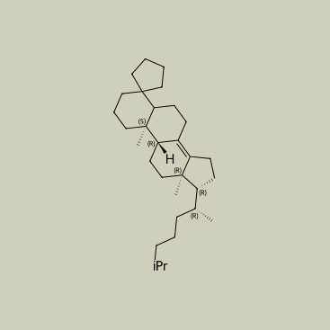 CC(C)CCC[C@@H](C)[C@H]1CCC2=C3CCC4C5(CCCC5)CCC[C@]4(C)[C@H]3CC[C@@]21C